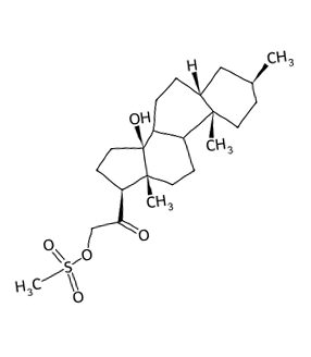 C[C@H]1CC[C@]2(C)C3CC[C@]4(C)[C@@H](C(=O)COS(C)(=O)=O)CC[C@]4(O)C3CC[C@@H]2C1